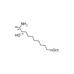 CCCCCCCCCCCCCCCC[C@H](O)[C@@H](C)N